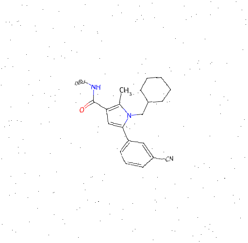 CCCCNC(=O)c1cc(-c2cccc(C#N)c2)n(CC2CCCCC2)c1C